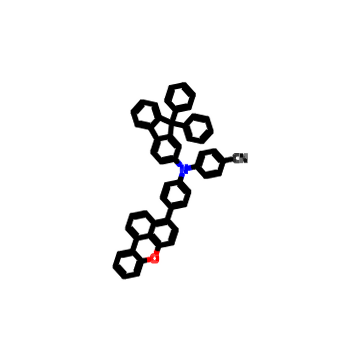 N#Cc1ccc(N(c2ccc(-c3ccc4c5c(cccc35)-c3ccccc3O4)cc2)c2ccc3c(c2)C(c2ccccc2)(c2ccccc2)c2ccccc2-3)cc1